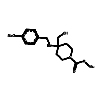 COc1ccc(CNC2(CO)CCN(C(=O)OC(C)(C)C)CC2)cc1